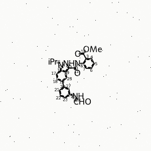 COC(=O)c1ccccc1NC(=O)c1nn(C(C)C)c2ccc(-c3cccc(NC=O)c3)cc12